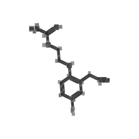 CNCc1cc(F)ccc1OCCOC(N)=O